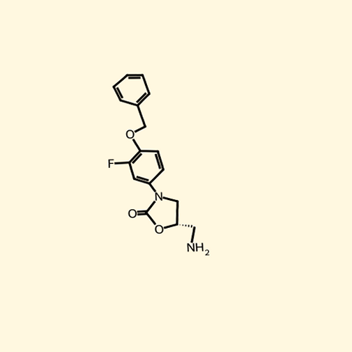 NC[C@H]1CN(c2ccc(OCc3ccccc3)c(F)c2)C(=O)O1